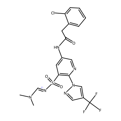 CN(C)/C=N/S(=O)(=O)c1cc(NC(=O)Cc2ccccc2Cl)cnc1-n1cc(C(F)(F)F)cn1